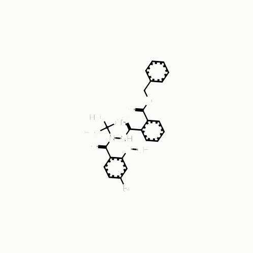 COc1cc(Br)ccc1C(=O)N(NC(=O)c1ccccc1C(=O)OCc1ccccc1)C(C)(C)C